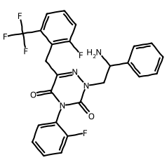 NC(Cn1nc(Cc2c(F)cccc2C(F)(F)F)c(=O)n(-c2ccccc2F)c1=O)c1ccccc1